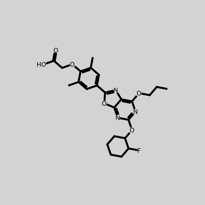 CCCOc1nc(OC2CCCCC2F)nc2oc(-c3cc(C)c(OCC(=O)O)c(C)c3)nc12